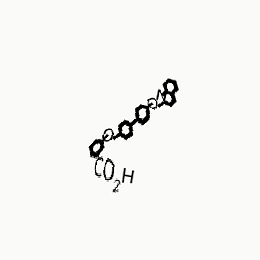 O=C(O)c1cccc(OCc2ccc(-c3ccc(OCc4ccc5ccccc5n4)cc3)cc2)c1